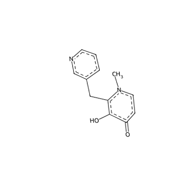 Cn1ccc(=O)c(O)c1Cc1cccnc1